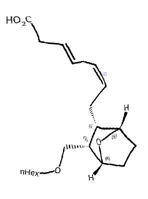 CCCCCCOC[C@@H]1[C@H](C/C=C\C=CCC(=O)O)[C@@H]2CC[C@H]1O2